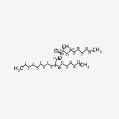 CCCCCCCCCC(CCCCCCC)COC(=O)C(C)CCCCCCCC